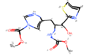 CC(C)(C)OC(=O)NC(Cc1cn(C(=O)OC(C)(C)C)cn1)C(O)c1nccs1